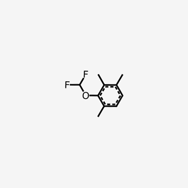 Cc1ccc(C)c(OC(F)F)c1C